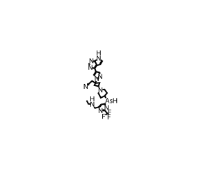 CCNCc1cc([AsH]C2CCN(C3CC(CC#N)(n4cc(-c5ncnc6[nH]ccc56)cn4)C3)CC2)nc(C(F)(F)F)n1